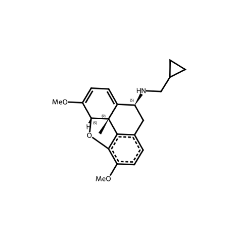 COC1=CC=C2[C@@H](NCC3CC3)Cc3ccc(OC)c4c3[C@]2(C)[C@@H]1O4